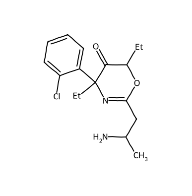 CCC1OC(CC(C)N)=NC(CC)(c2ccccc2Cl)C1=O